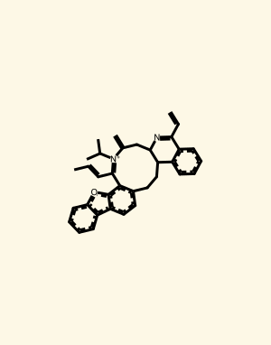 C=CC1=NC2CC(=C)/[N+](C(C)C)=C(/C=C/C)c3c(ccc4c3oc3ccccc34)CCC2c2ccccc21